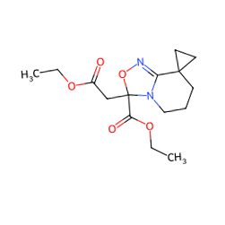 CCOC(=O)CC1(C(=O)OCC)ON=C2N1CCCC21CC1